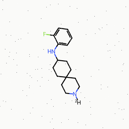 [2H]N1CCC2(CCC(Nc3ccccc3F)CC2)CC1